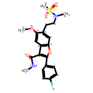 CNC(=O)c1c(-c2ccc(F)cc2)oc2cc(CCN(C)S(C)(=O)=O)c(OC)cc12